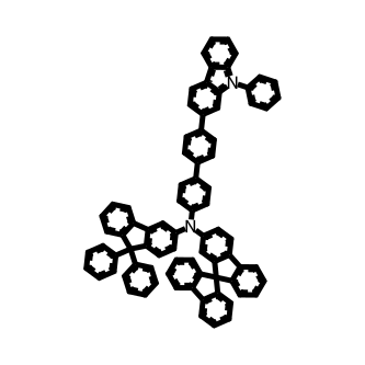 c1ccc(-n2c3ccccc3c3ccc(-c4ccc(-c5ccc(N(c6ccc7c(c6)-c6ccccc6C7(c6ccccc6)c6ccccc6)c6ccc7c(c6)C6(c8ccccc8-c8ccccc86)c6ccccc6-7)cc5)cc4)cc32)cc1